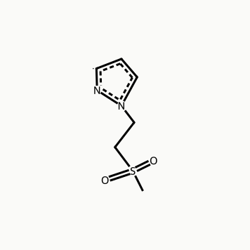 CS(=O)(=O)CCn1cc[c]n1